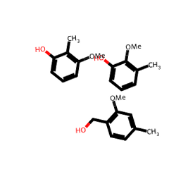 COc1c(C)cccc1O.COc1cc(C)ccc1CO.COc1cccc(O)c1C